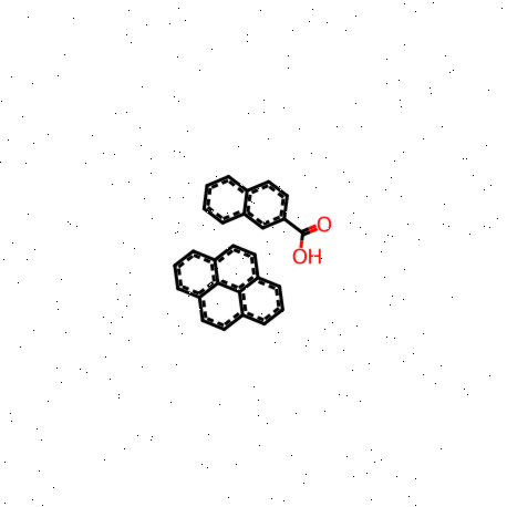 O=C(O)c1ccc2ccccc2c1.c1cc2ccc3cccc4ccc(c1)c2c34